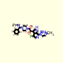 C=N/C=C\N(N)c1ncc(F)c2c(C(=O)C(=O)N3CCN(/C(=N/C(C)C)c4ccccc4)CC3)c[nH]c12